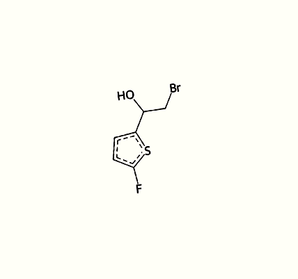 OC(CBr)c1ccc(F)s1